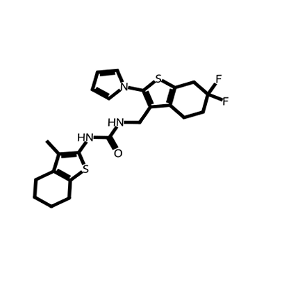 Cc1c(NC(=O)NCc2c(-n3cccc3)sc3c2CCC(F)(F)C3)sc2c1CCCC2